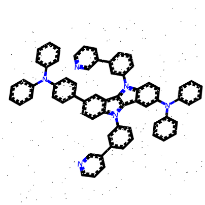 c1ccc(N(c2ccccc2)c2ccc(-c3ccc4c(c3)c3c(c5cc(N(c6ccccc6)c6ccccc6)ccc5n3-c3cccc(-c5cccnc5)c3)n4-c3cccc(-c4cccnc4)c3)cc2)cc1